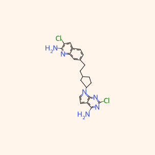 Nc1nc2cc(CCC3CCC(n4ccc5c(N)nc(Cl)nc54)C3)ccc2cc1Cl